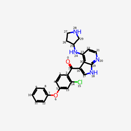 O=C(c1ccc(Oc2ccccc2)cc1Cl)c1c[nH]c2nccc(NC3CCNC3)c12